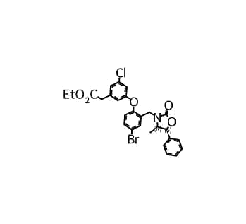 CCOC(=O)Cc1cc(Cl)cc(Oc2ccc(Br)cc2CN2C(=O)O[C@@H](c3ccccc3)[C@H]2C)c1